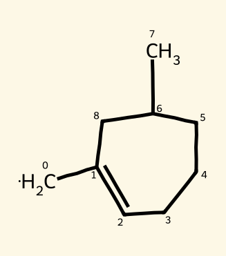 [CH2]C1=CCCCC(C)C1